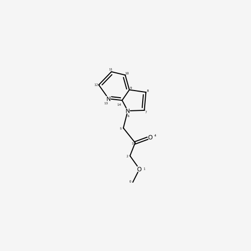 COCC(=O)Cn1ccc2cccnc21